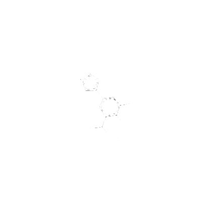 CC(C)c1cc(-c2cncs2)cc(Cl)c1O